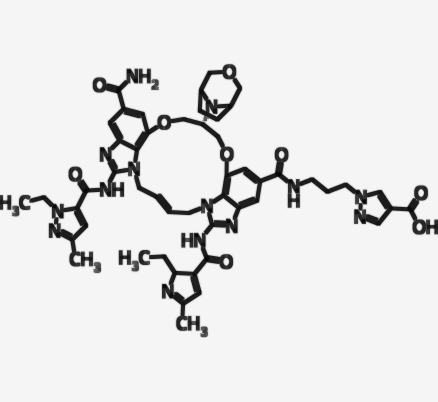 CCC1N=C(C)C=C1C(=O)Nc1nc2cc(C(=O)NCCCn3cc(C(=O)O)cn3)cc3c2n1C/C=C/Cn1c(NC(=O)c2cc(C)nn2CC)nc2cc(C(N)=O)cc(c21)OC[C@H](N1C2CCC1COC2)CO3